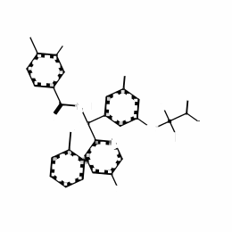 Cc1ccc(C(=O)N[C@@](Cc2ccccc2)(c2cc(F)cc(OC(F)(F)C(F)F)c2)c2ccc(Cl)cn2)cc1C(F)(F)F